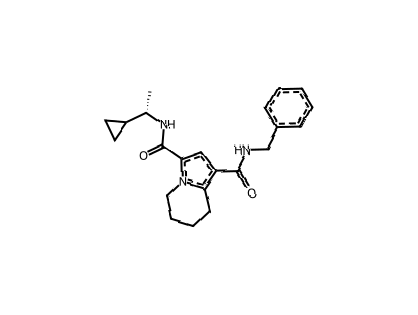 C[C@H](NC(=O)c1cc(C(=O)NCc2ccccc2)c2n1CCCC2)C1CC1